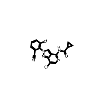 N#Cc1cccc(Cl)c1-n1cc2c(NC(=O)C3CC3)ncc(Cl)c2n1